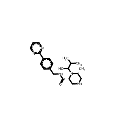 CC(C)C(O)N1[C@H](C)CNC[C@@H]1C(=O)NCc1ccc(-c2ncccn2)cc1